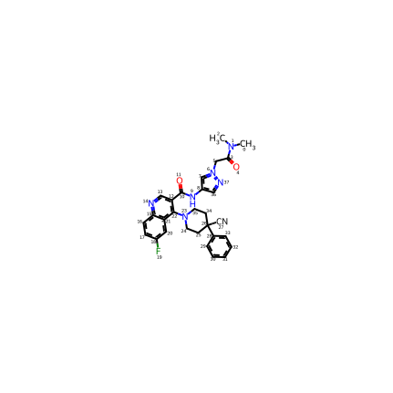 CN(C)C(=O)Cn1cc(NC(=O)c2cnc3ccc(F)cc3c2N2CCC(C#N)(c3ccccc3)CC2)cn1